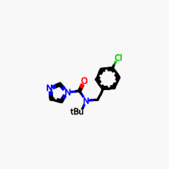 CC(C)(C)N(Cc1ccc(Cl)cc1)C(=O)n1ccnc1